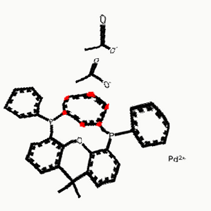 CC(=O)[O-].CC(=O)[O-].CC1(C)c2cccc(P(c3ccccc3)c3ccccc3)c2Oc2c(P(c3ccccc3)c3ccccc3)cccc21.[Pd+2]